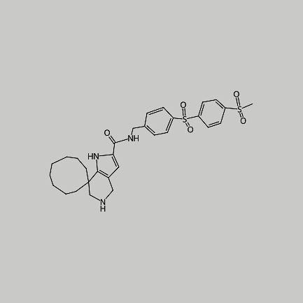 CS(=O)(=O)c1ccc(S(=O)(=O)c2ccc(CNC(=O)c3cc4c([nH]3)C3(CCCCCCCC3)CNC4)cc2)cc1